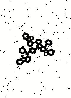 c1ccc(-c2c3c(cc4c2c2cccc(-c5cccc6c5oc5ccccc56)c2n4-c2ccc(N(c4ccccc4)c4cccc5c4sc4ccccc45)cc2)oc2ccccc23)cc1